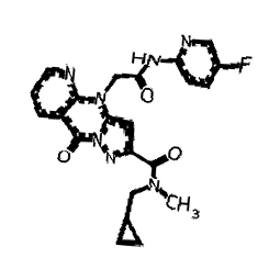 CN(CC1CC1)C(=O)c1cc2n(CC(=O)Nc3ccc(F)cn3)c3ncccc3c(=O)n2n1